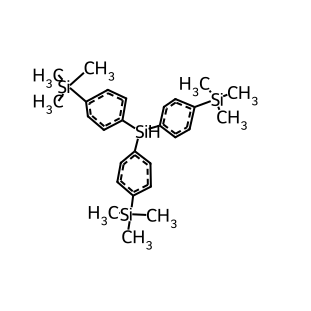 C[Si](C)(C)c1ccc([SiH](c2ccc([Si](C)(C)C)cc2)c2ccc([Si](C)(C)C)cc2)cc1